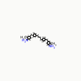 Cc1cc(Cc2ccc(CCCCc3ccc(Cc4ccc(N)c(C)c4)cc3)cc2)ccc1N